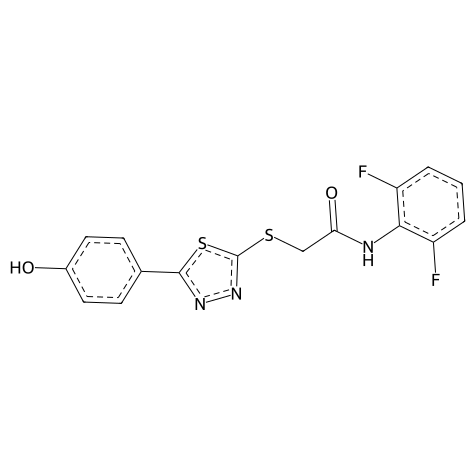 O=C(CSc1nnc(-c2ccc(O)cc2)s1)Nc1c(F)cccc1F